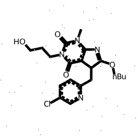 CCCCOC1=Nc2c(c(=O)n(CCCO)c(=O)n2C)C1Cc1ccc(Cl)cn1